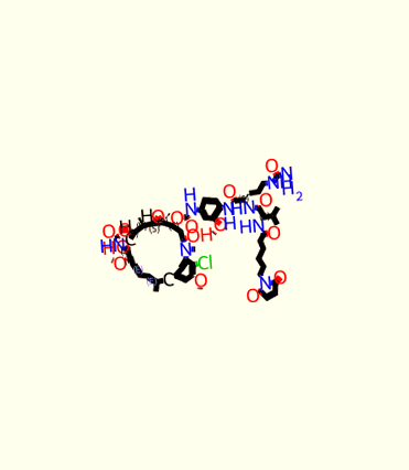 COc1cc(NC(=O)O[C@H]2CC(O)N(C)c3cc(cc(OC)c3Cl)C/C(C)=C/C=C/[C@@H](OC)[C@@]3(O)C[C@H](OC(=O)N3)[C@@H](C)[C@@H]3O[C@@]23C)ccc1NC(=O)[C@H](CCCNC(N)=O)NC(=O)[C@@H](NC(=O)CCCCCN1C(=O)C=CC1=O)C(C)C